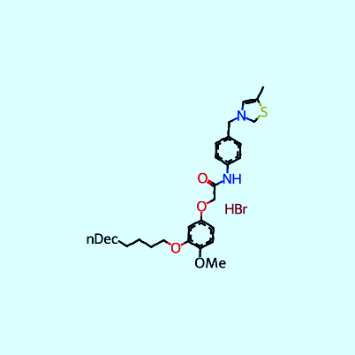 Br.CCCCCCCCCCCCCCOc1cc(OCC(=O)Nc2ccc(CN3C=C(C)SC3)cc2)ccc1OC